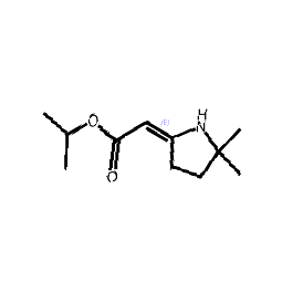 CC(C)OC(=O)/C=C1\CCC(C)(C)N1